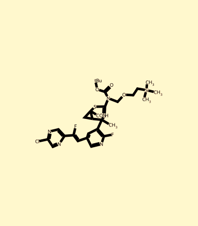 CC(C)(C)OC(=O)N(COCC[Si](C)(C)C)C1=NC(C)(c2cc(C=C(F)c3cnc(Cl)cn3)cnc2F)C2CC2(C(=O)O)S1